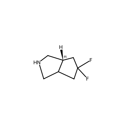 FC1(F)CC2CNC[C@@H]2C1